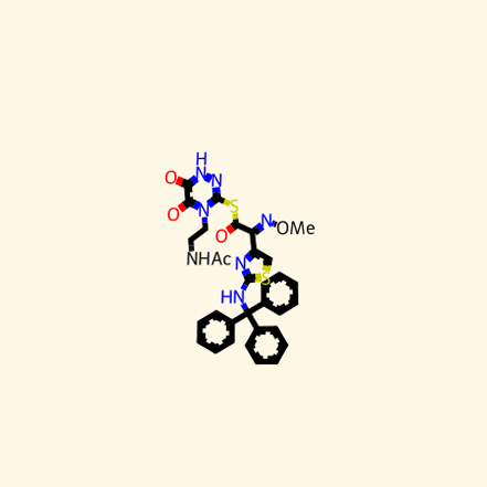 CON=C(C(=O)Sc1n[nH]c(=O)c(=O)n1CCNC(C)=O)c1csc(NC(c2ccccc2)(c2ccccc2)c2ccccc2)n1